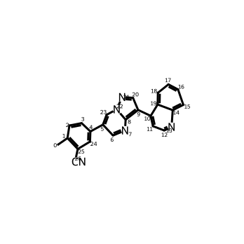 Cc1ccc(-c2cnc3c(-c4ccnc5ccccc45)cnn3c2)cc1C#N